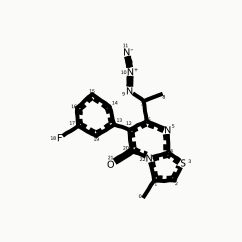 Cc1csc2nc(C(C)N=[N+]=[N-])c(-c3cccc(F)c3)c(=O)n12